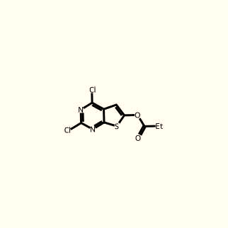 CCC(=O)Oc1cc2c(Cl)nc(Cl)nc2s1